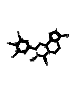 CCc1ncc2n1CCN(C(=O)OC(C)(C)C)C2CCc1cc(F)c(F)c(F)c1